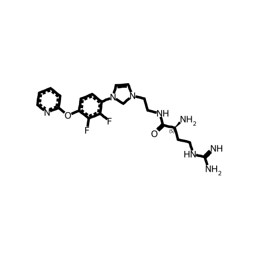 N=C(N)NCC[C@H](N)C(=O)NCCN1C=CN(c2ccc(Oc3ccccn3)c(F)c2F)C1